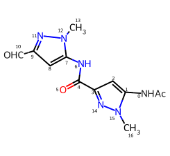 CC(=O)Nc1cc(C(=O)Nc2cc(C=O)nn2C)nn1C